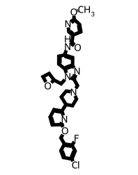 COc1ccc(C(=O)Nc2ccc3c(c2)nc(CN2CCC(c4cccc(OCc5ccc(Cl)cc5F)n4)CC2)n3CC2CCO2)cn1